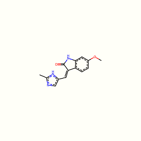 COc1ccc2c(c1)NC(=O)/C2=C\c1cnc(C)[nH]1